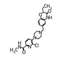 CCC1Oc2ccc(CN3CCN(c4ccc(C(=O)NC)nc4Cl)CC3)cc2NC1=O